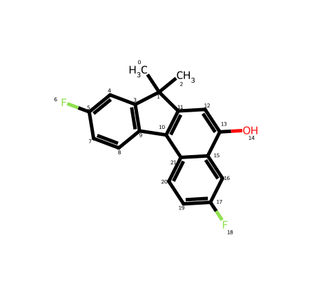 CC1(C)c2cc(F)ccc2-c2c1cc(O)c1cc(F)ccc21